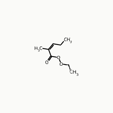 CCC=C(C)C(=O)OOCC